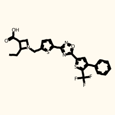 CCC1C(C(=O)O)CN1Cc1ccc(-c2noc(-c3cc(-c4ccccc4)c(C(F)(F)F)s3)n2)s1